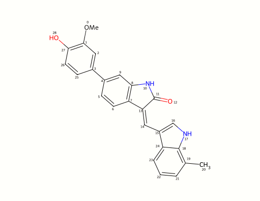 COc1cc(-c2ccc3c(c2)NC(=O)/C3=C\c2c[nH]c3c(C)cccc23)ccc1O